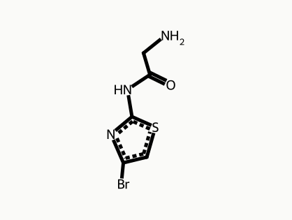 NCC(=O)Nc1nc(Br)cs1